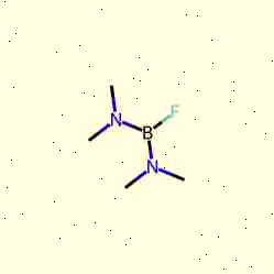 CN(C)B(F)N(C)C